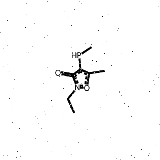 CCn1oc(C)c(PC)c1=O